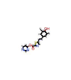 Cc1cc(/C=C/c2cnc(C(=O)Oc3ccncn3)s2)cc(C)c1O